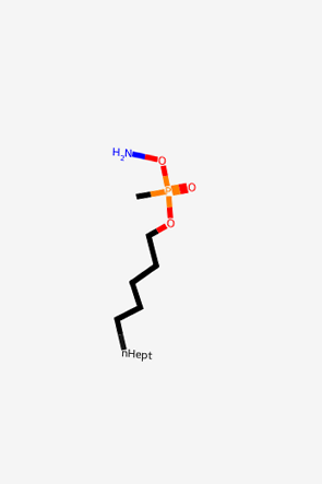 CCCCCCCCCCCCOP(C)(=O)ON